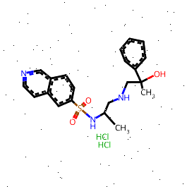 CC(CNCC(C)(O)c1ccccc1)NS(=O)(=O)c1ccc2cnccc2c1.Cl.Cl